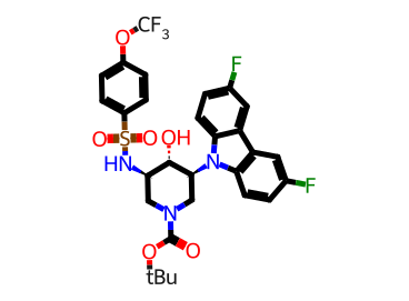 CC(C)(C)OC(=O)N1C[C@@H](NS(=O)(=O)c2ccc(OC(F)(F)F)cc2)[C@H](O)[C@@H](n2c3ccc(F)cc3c3cc(F)ccc32)C1